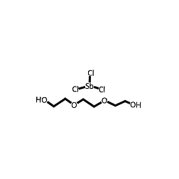 OCCOCCOCCO.[Cl][Sb]([Cl])[Cl]